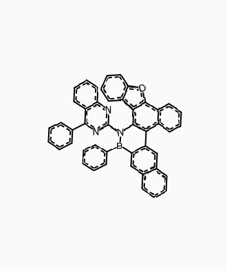 c1ccc(B2c3cc4ccccc4cc3-c3c(c4c5ccccc5oc4c4ccccc34)N2c2nc(-c3ccccc3)c3ccccc3n2)cc1